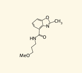 COCCCNC(=O)c1cccc2oc(C)nc12